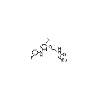 CC(C)(C)OC(=O)NCCCOc1nc(Nc2cccc(F)c2)ncc1C1CC1